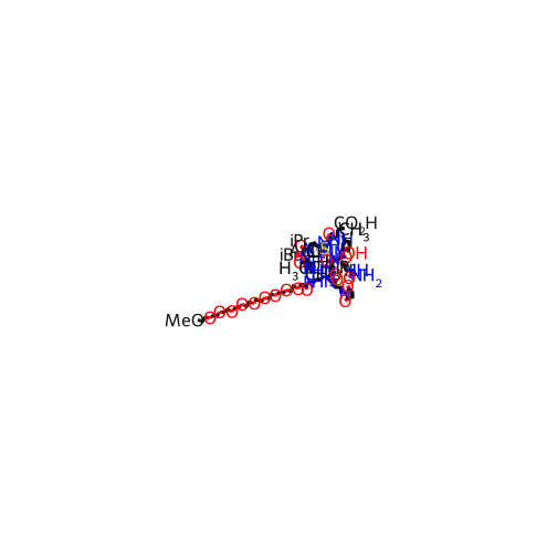 CC[C@H](C)[C@H](NC(=O)C(C)(C)N(C)C)C(=O)N(C)[C@H](C[C@@H](OC(C)=O)c1nc(C(=O)N[C@@H](Cc2ccc(O)c(NC(=O)[C@H](CCCNC(N)=O)NC(=O)[C@@H](NC(=O)[C@H](CCCCNC(=O)COCCOCCOCCOCCOCCOCCOCCOCCOCCOC)NC(=O)CCCN3C(=O)C=CC3=O)C(C)C)c2)C[C@H](C)C(=O)O)cs1)C(C)C